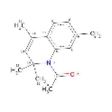 CC(=O)N1c2cc(C)ccc2C(C)=CC1(C)C